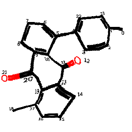 Cc1ccc(-c2cccc3c2C(=O)c2cccc(C)c2C3=O)cc1